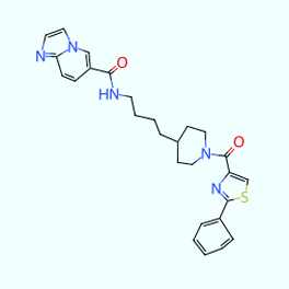 O=C(NCCCCC1CCN(C(=O)c2csc(-c3ccccc3)n2)CC1)c1ccc2nccn2c1